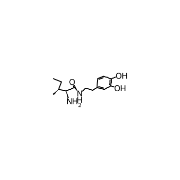 CC[C@H](C)[C@H](N)C(=O)NCCc1ccc(O)c(O)c1